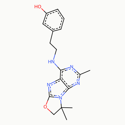 Cc1nc(NCCc2cccc(O)c2)c2nc3n(c2n1)C(C)(C)CO3